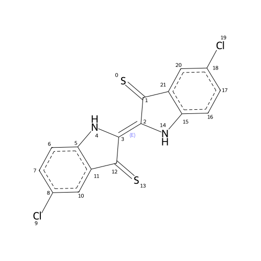 S=C1/C(=C2\Nc3ccc(Cl)cc3C2=S)Nc2ccc(Cl)cc21